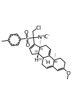 [C-]#[N+]C(CCl)(C1=CC[C@H]2[C@@H]3CC=C4C=C(OC)CC[C@]4(C)C3=CC[C@]12C)S(=O)(=O)c1ccc(C)cc1